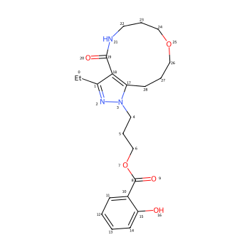 CCc1nn(CCCOC(=O)c2ccccc2O)c2c1C(=O)NCCCOCCC2